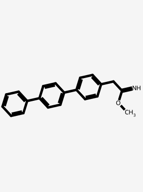 COC(=N)Cc1ccc(-c2ccc(-c3ccccc3)cc2)cc1